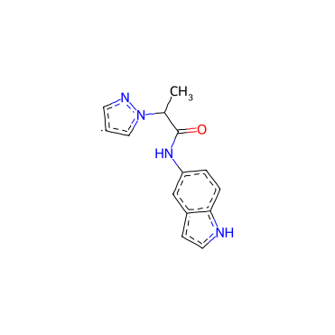 CC(C(=O)Nc1ccc2[nH]ccc2c1)n1c[c]cn1